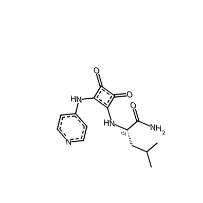 CC(C)C[C@H](Nc1c(Nc2ccncc2)c(=O)c1=O)C(N)=O